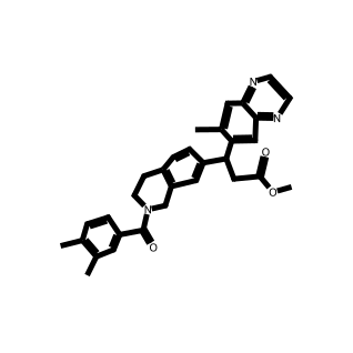 COC(=O)CC(c1ccc2c(c1)CN(C(=O)c1ccc(C)c(C)c1)CC2)c1cc2nccnc2cc1C